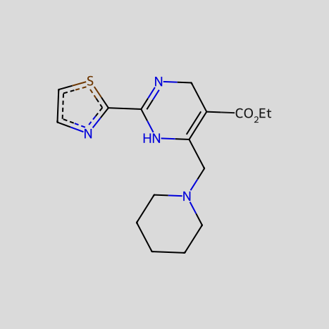 CCOC(=O)C1=C(CN2CCCCC2)NC(c2nccs2)=NC1